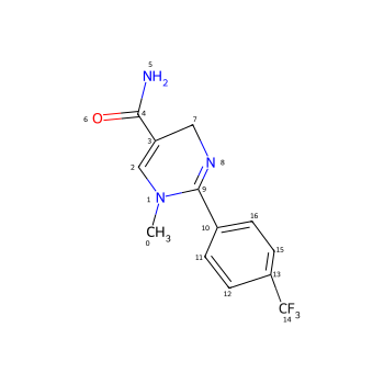 CN1C=C(C(N)=O)CN=C1c1ccc(C(F)(F)F)cc1